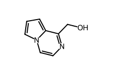 OCc1nccn2cccc12